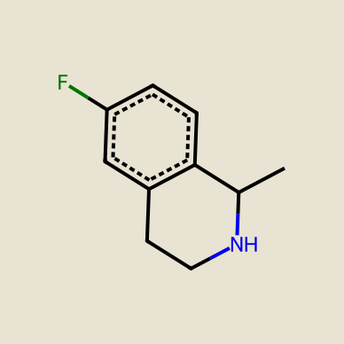 CC1NCCc2cc(F)ccc21